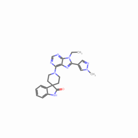 CCn1c(-c2cnn(C)c2)nc2c(N3CCC4(CC3)C(=O)Nc3ccccc34)ncnc21